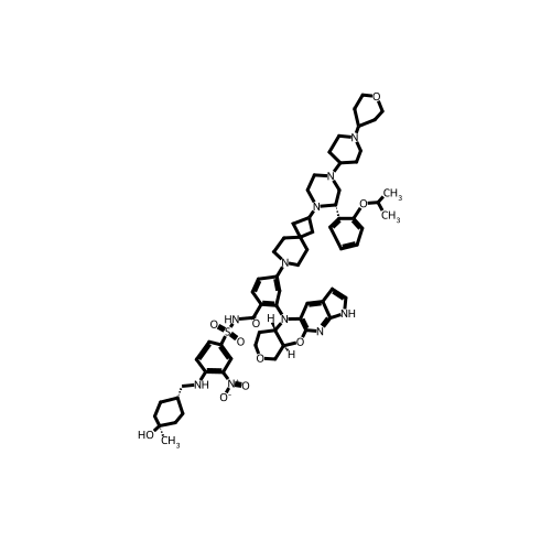 CC(C)Oc1ccccc1[C@H]1CN(C2CCN(C3CCOCC3)CC2)CCN1C1CC2(CCN(c3ccc(C(=O)NS(=O)(=O)c4ccc(NC[C@H]5CC[C@](C)(O)CC5)c([N+](=O)[O-])c4)c(N4c5cc6cc[nH]c6nc5O[C@H]5COCC[C@@H]54)c3)CC2)C1